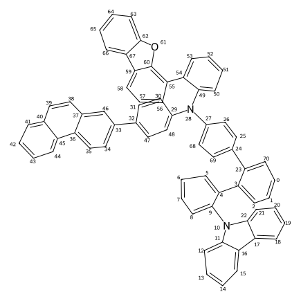 c1ccc(-c2ccccc2-n2c3ccccc3c3ccccc32)c(-c2ccc(N(c3ccc(-c4ccc5c(ccc6ccccc65)c4)cc3)c3ccccc3-c3cccc4c3oc3ccccc34)cc2)c1